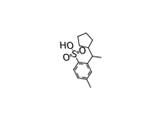 Cc1ccc(S(=O)(=O)O)c(C(C)C2CCCC2)c1